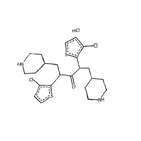 Cl.O=C(C(CC1CCNCC1)c1sccc1Cl)C(CC1CCNCC1)c1sccc1Cl